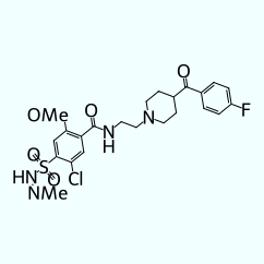 CNNS(=O)(=O)c1cc(OC)c(C(=O)NCCN2CCC(C(=O)c3ccc(F)cc3)CC2)cc1Cl